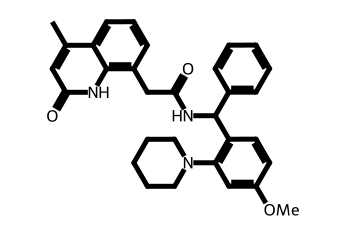 COc1ccc(C(NC(=O)Cc2cccc3c(C)cc(=O)[nH]c23)c2ccccc2)c(N2CCCCC2)c1